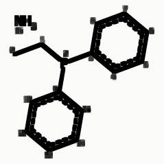 CCP(c1ccccc1)c1ccccc1.N